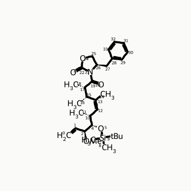 C=C[C@H](OC)[C@@H](O[Si](C)(C)C(C)(C)C)[C@H](C)/C=C(/C)[C@H](C)[C@H](C)C(=O)N1C(=O)OC[C@H]1Cc1ccccc1